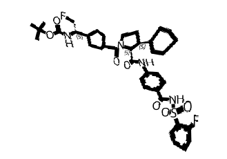 CC(C)(C)OC(=O)N[C@H](CF)C1CCC(C(=O)N2CC[C@@H](C3CCCCC3)[C@H]2C(=O)Nc2ccc(C(=O)NS(=O)(=O)c3ccccc3F)cc2)CC1